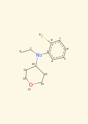 CCN(c1ccc[c]c1F)C1CCOCC1